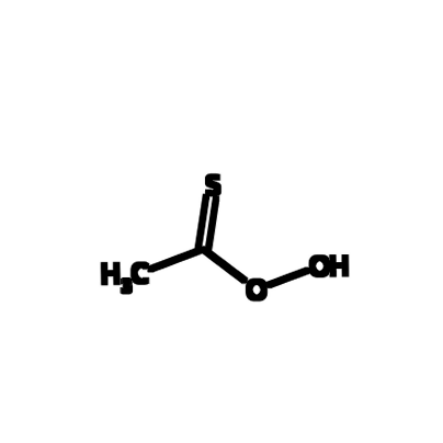 CC(=S)OO